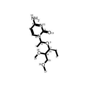 CC[C@H](OC(C)n1ccc(N)nc1=O)C(COC)OC